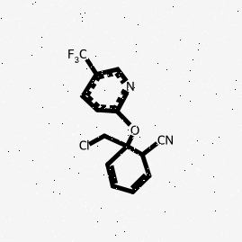 N#CC1C=CC=CC1(CCl)Oc1ccc(C(F)(F)F)cn1